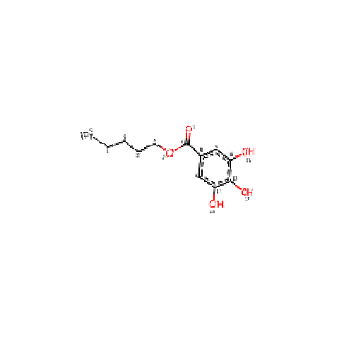 CC(C)CCCCOC(=O)c1cc(O)c(O)c(O)c1